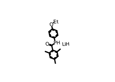 CCOc1ccc(PC(=O)c2c(C)cc(C)cc2C)cc1.[LiH]